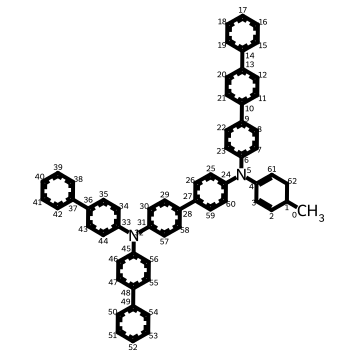 CC1C=CC(N(c2ccc(-c3ccc(-c4ccccc4)cc3)cc2)c2ccc(-c3ccc(N(c4ccc(-c5ccccc5)cc4)c4ccc(-c5ccccc5)cc4)cc3)cc2)=CC1